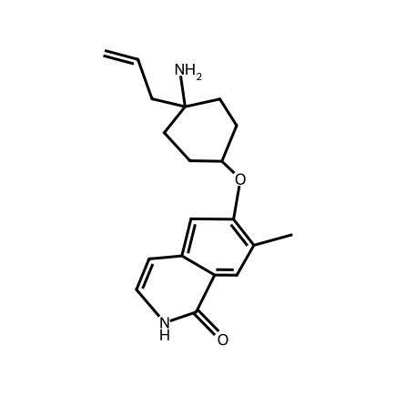 C=CCC1(N)CCC(Oc2cc3cc[nH]c(=O)c3cc2C)CC1